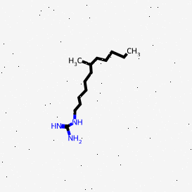 CCCCCC(C)CCCCCCNC(=N)N